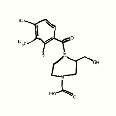 Cc1c(Br)ccc(C(=O)N2CCN(C(=O)O)CC2CO)c1F